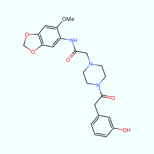 COc1cc2c(cc1NC(=O)CN1CCN(C(=O)Cc3cccc(O)c3)CC1)OCO2